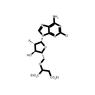 CCOC(=O)CC(OC[C@H]1O[C@@H](n2cnc3c(N)nc(Cl)nc32)[C@@H](F)[C@@H]1O)C(=O)OCC